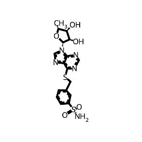 C[C@H]1O[C@@H](n2cnc3c(SCc4cccc(S(N)(=O)=O)c4)ncnc32)[C@H](O)[C@@H]1O